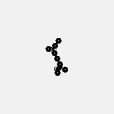 c1ccc(-c2ccc(N(c3ccccc3)c3ccc(-c4ccc(-c5ccc6c(c5)c5oc7ccccc7c5n6-c5ccccc5)cc4)cc3)cc2)cc1